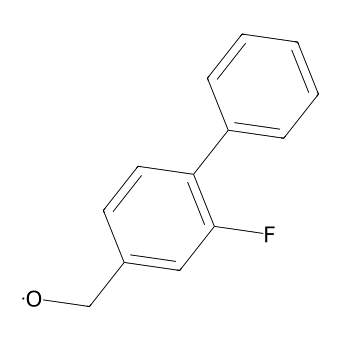 [O]Cc1ccc(-c2ccccc2)c(F)c1